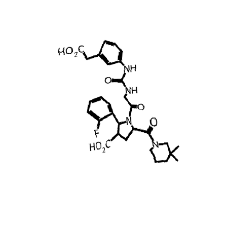 CC1(C)CCCN(C(=O)C2CC(C(=O)O)C(c3ccccc3F)N2C(=O)CNC(=O)Nc2cccc(CC(=O)O)c2)C1